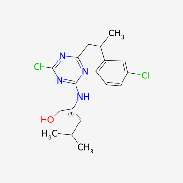 CC(C)C[C@H](CO)Nc1nc(Cl)nc(CC(C)c2cccc(Cl)c2)n1